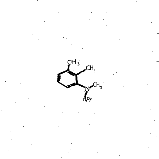 CCCN(C)c1cccc(C)c1C